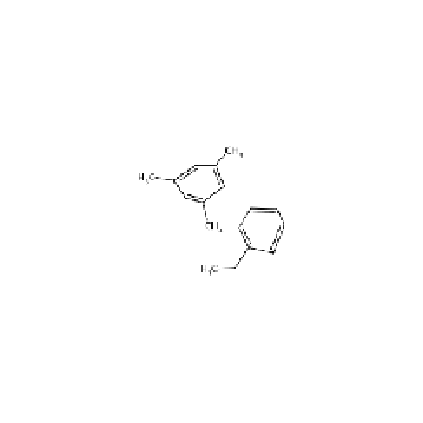 CCc1ccccc1.Cc1cc(C)cc(C)c1